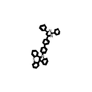 c1ccc(-c2cc(-c3ccc(-c4ccc(-n5c6c(c7ccccc75)-c5ccccc5Sc5ccccc5-6)cc4)cc3)nc(-c3ccccc3)n2)cc1